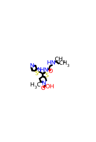 CC[C@H](C)NCCC(=O)Nc1sc2c(c1-c1nc3cnccc3s1)C[C@@H](C)N(C(=O)O)C2